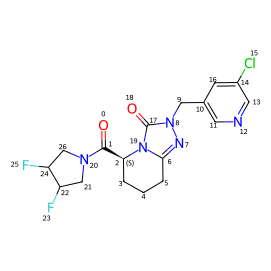 O=C([C@@H]1CCCc2nn(Cc3cncc(Cl)c3)c(=O)n21)N1CC(F)C(F)C1